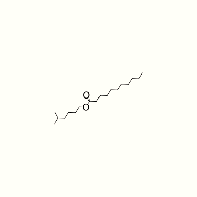 CCCCCCCCCCC(=O)OCCCCC(C)C